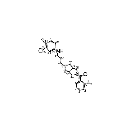 CCc1ccccc1C(=O)N1CC2CN(CCCNc3ccc(C)c(Cl)c3)CC2C1